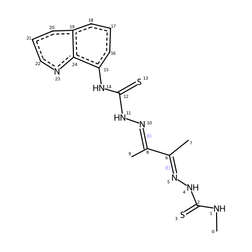 CNC(=S)N/N=C(C)/C(C)=N/NC(=S)Nc1cccc2cccnc12